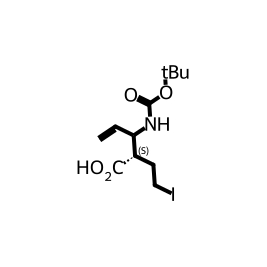 C=CC(NC(=O)OC(C)(C)C)[C@H](CCI)C(=O)O